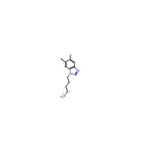 Cc1cc2ncn(CCCCN)c2cc1C